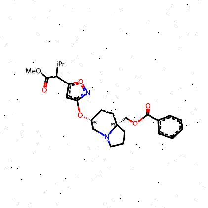 COC(=O)C(c1cc(O[C@@H]2CC[C@@]3(COC(=O)c4ccccc4)CCCN3C2)no1)C(C)C